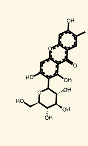 Cc1cc2c(=O)c3c(O)c(C4O[C@H](CO)[C@@H](O)[C@H](O)[C@H]4O)c(O)cc3oc2cc1O